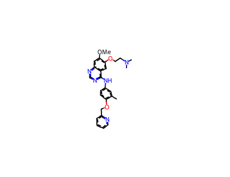 COc1cc2ncnc(Nc3ccc(OCc4ccccn4)c(C)c3)c2cc1OCCN(C)C